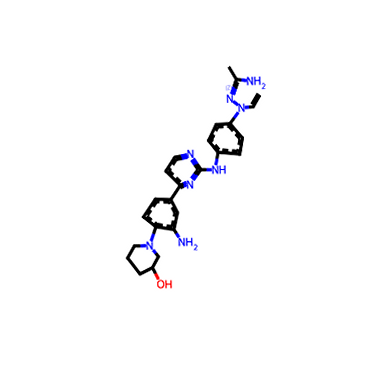 C=CN(/N=C(/C)N)c1ccc(Nc2nccc(-c3ccc(N4CCCC(O)C4)c(N)c3)n2)cc1